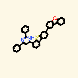 C1=C(c2ccccc2)N=C(c2ccccc2)NC1c1cccc2c1sc1cc(-c3ccc4oc5ccccc5c4c3)ccc12